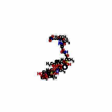 COc1c(C)c(OC2OC(C)C(O)C(OC)C2O)c(I)c(C)c1C(=O)SC1C(O)CC(ONC2C(C)OC(O[C@H]3C#C/C=C\C#C[C@]4(O)CC(=O)C(CC(C)=O)=C3/C4=C/CSSC(C)(C)CCC(=O)CCCNC(=O)OCc3ccc(NC(=O)[C@H](C)CC(=O)[C@@H](NC(=O)CCCCCN4C(=O)C=CC4=O)C(C)C)cc3)C(OC3CC(C)C(CC(C)=O)CO3)C2O)OC1C